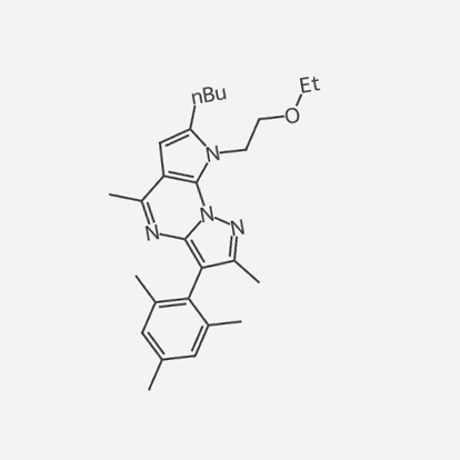 CCCCc1cc2c(C)nc3c(-c4c(C)cc(C)cc4C)c(C)nn3c2n1CCOCC